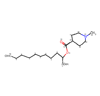 CCCCCCCCCCC(CCCCCCCCC=O)OC(=O)C1CCN(C)CC1